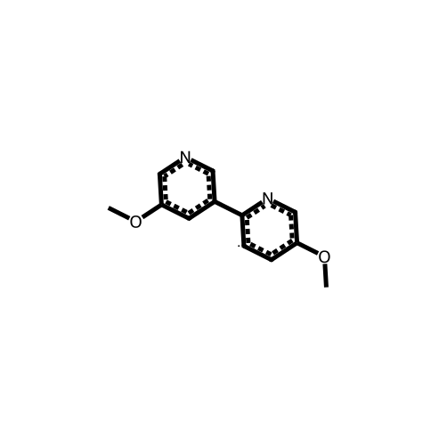 COc1c[c]c(-c2cncc(OC)c2)nc1